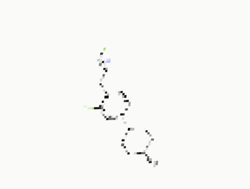 CCC[C@H]1CC[C@H](c2ccc(C/C=C/F)c(F)c2)CC1